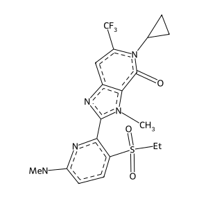 CCS(=O)(=O)c1ccc(NC)nc1-c1nc2cc(C(F)(F)F)n(C3CC3)c(=O)c2n1C